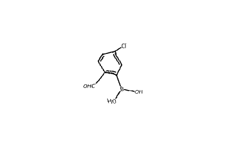 O=Cc1ccc(Cl)cc1B(O)O